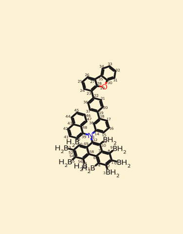 Bc1c(B)c(B)c2c(c1B)c(B)c(N(c1cccc(-c3ccc(-c4cccc5c4oc4ccccc45)cc3)c1)c1cccc3ccccc13)c1c(B)c(B)c(B)c(B)c12